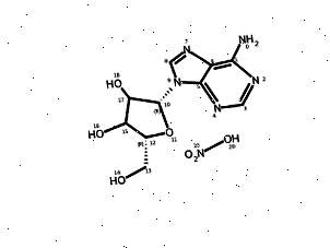 Nc1ncnc2c1ncn2[C@@H]1O[C@H](CO)C(O)C1O.O=[N+]([O-])O